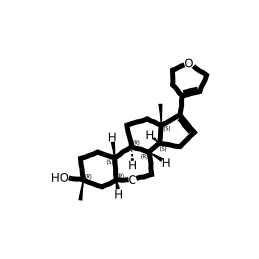 C[C@@]1(O)CC[C@H]2[C@H](CC[C@@H]3[C@@H]2CC[C@]2(C)C(C4=CCOCC4)=CC[C@@H]32)C1